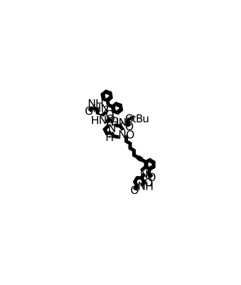 CC(C)(C)OC(=O)N[C@H]1CN(C(=O)CCCCCC#Cc2cccc3c2CN(C2CCC(=O)NC2=O)C3=O)CC[C@H]2CC[C@@H](C(=O)N[C@@H](CCC(N)=O)C(=O)NC(c3ccccc3)c3ccccc3)N2C1=O